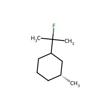 C[C@@H]1CCCC(C(C)(C)F)C1